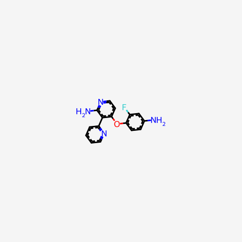 Nc1ccc(Oc2ccnc(N)c2-c2ccccn2)c(F)c1